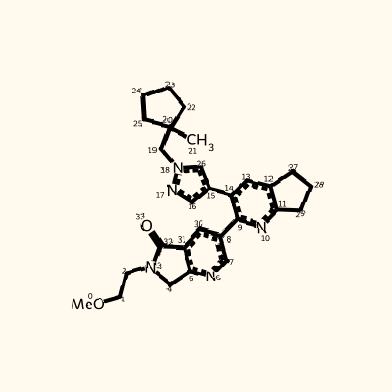 COCCN1Cc2ncc(-c3nc4c(cc3-c3cnn(CC5(C)CCCC5)c3)CCC4)cc2C1=O